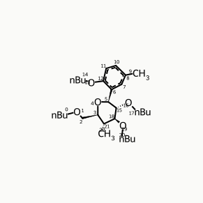 CCCCOC[C@H]1O[C@@H](c2cc(C)ccc2OCCCC)[C@H](OCCCC)[C@@H](OCCCC)[C@@H]1C